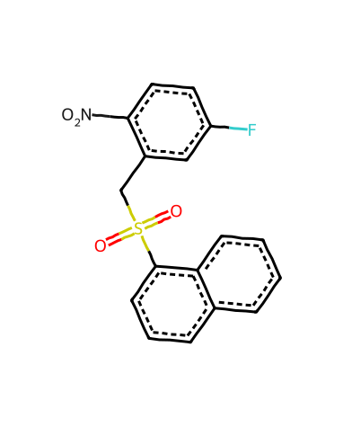 O=[N+]([O-])c1ccc(F)cc1CS(=O)(=O)c1cccc2ccccc12